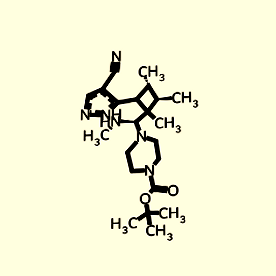 CN[C@H](N1CCN(C(=O)OC(C)(C)C)CC1)C1(C)C(c2[nH]ncc2C#N)[C@H](C)[C@H]1C